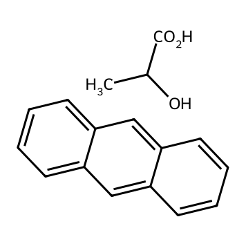 CC(O)C(=O)O.c1ccc2cc3ccccc3cc2c1